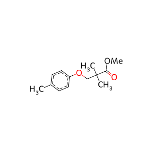 COC(=O)C(C)(C)COc1ccc(C)cc1